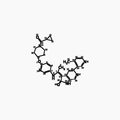 C/C(Nc1ccc(OC2CCN(C(=O)C3CC3)CC2)nc1)=C1/C(=O)Nc2cnc(-c3cnccc3C)cc21